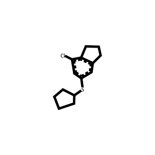 Clc1cc(SC2CCCC2)cc2c1CCC2